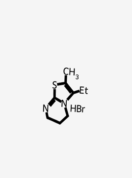 Br.CCC1=C(C)SC2=NCCCN21